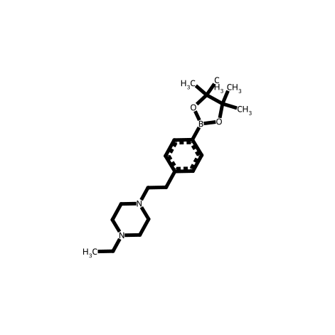 CCN1CCN(CCc2ccc(B3OC(C)(C)C(C)(C)O3)cc2)CC1